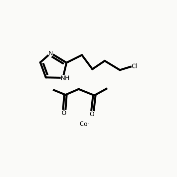 CC(=O)CC(C)=O.ClCCCCc1ncc[nH]1.[Co]